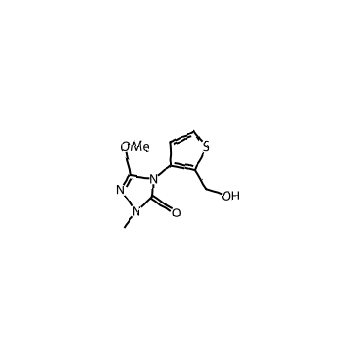 COc1nn(C)c(=O)n1-c1ccsc1CO